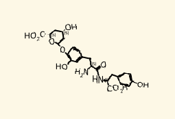 N[C@@H](Cc1ccc(OC2C[C@@H](O)C[C@@H](C(=O)O)O2)c(O)c1)C(=O)N[C@@H](Cc1ccc(O)cc1)C(=O)O